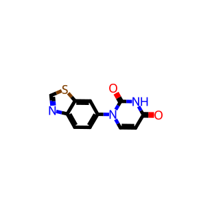 O=c1ccn(-c2ccc3ncsc3c2)c(=O)[nH]1